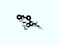 CC(C)(C)[S@@+]([O-])N1Cc2cc(C(=O)NCC(F)(F)F)nc(-c3cccc(-c4cc5ccccc5o4)c3)c2[C@H]1CCO